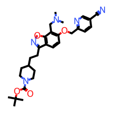 CN(C)Cc1c(OCc2ccc(C#N)cn2)ccc2c(CCC3CCN(C(=O)OC(C)(C)C)CC3)noc12